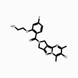 Cc1nc2c3c(nn2c(C)c1Cl)CN(C(=O)c1ccc(F)cc1OCCO)C3